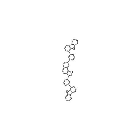 c1cc(-c2ccc3ccc4c(-c5cccc(-c6cccc7c6sc6ccccc67)c5)coc4c3c2)cc(-c2cccc3c2sc2ccccc23)c1